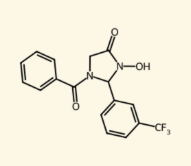 O=C1CN(C(=O)c2ccccc2)C(c2cccc(C(F)(F)F)c2)N1O